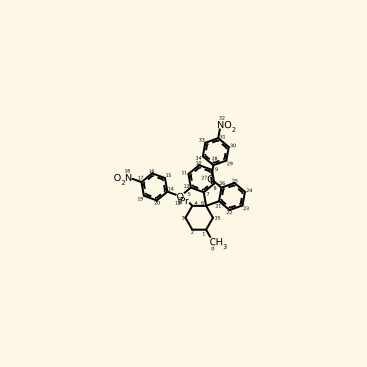 CC1CCC(C(C)C)C(c2ccccc2Oc2ccc([N+](=O)[O-])cc2)(c2ccccc2Oc2ccc([N+](=O)[O-])cc2)C1